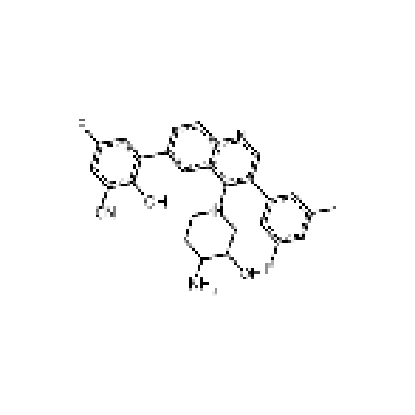 Cc1cc(F)cc(-c2cnc3ccc(-c4cc(F)cc(C#N)c4O)cc3c2N2CCC(N)C(O)C2)c1